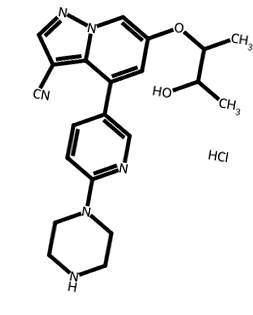 CC(O)C(C)Oc1cc(-c2ccc(N3CCNCC3)nc2)c2c(C#N)cnn2c1.Cl